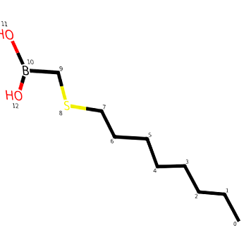 CCCCCCCCSCB(O)O